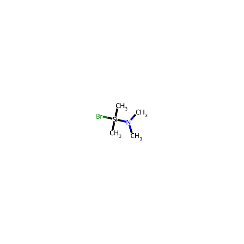 CN(C)[Si](C)(C)Br